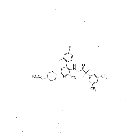 Cc1cc(F)ccc1-c1cc([C@H]2CC[C@@H](CC(=O)O)CC2)nc(C#N)c1NCC(=O)C(C)(C)c1cc(C(F)(F)F)cc(C(F)(F)F)c1